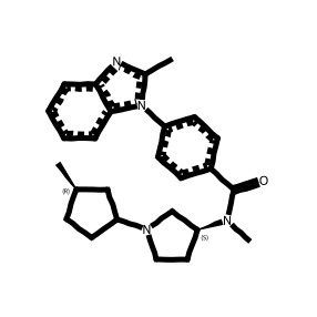 Cc1nc2ccccc2n1-c1ccc(C(=O)N(C)[C@H]2CCN(C3CC[C@@H](C)C3)C2)cc1